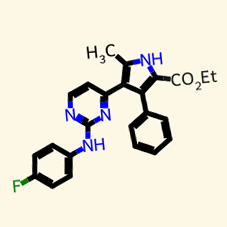 CCOC(=O)c1[nH]c(C)c(-c2ccnc(Nc3ccc(F)cc3)n2)c1-c1ccccc1